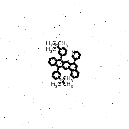 C[Si](C)(C)c1cccc(-c2c3ccccc3c(-c3cccc([Si](C)(C)C)c3)c3cc4c(cc23)c(-c2cccnc2)cc2ccccc24)c1